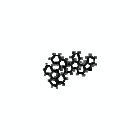 c1ccc(-c2ccccc2N(c2ccccc2-c2ccc3c4ccccc4c4c(ccc5oc6ccccc6c54)c3c2)c2cccc3ccccc23)cc1